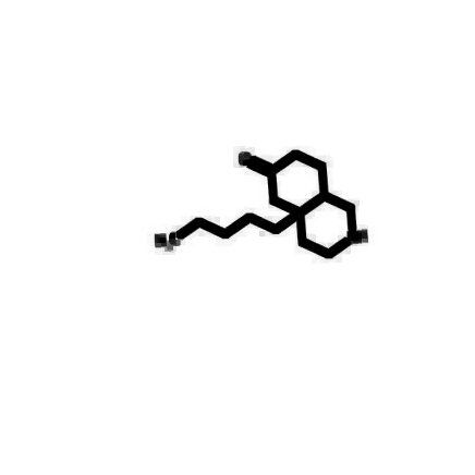 CCCCCC12CCNCC1CCC(=O)C2